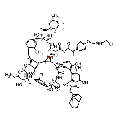 CCNCCOc1ccc(NC(=O)NC(=O)C[C@@H]2NC(=O)[C@H](NC(=O)[C@@H](CC(C)C)NC)[C@H](O)c3ccc(c(C)c3)Oc3cc4cc(c3O[C@@H]3O[C@H](CN)[C@@H](O)[C@H](O)[C@H]3O)Oc3ccc(cc3Cl)[C@@H](O)[C@@H]3NC(=O)[C@H](NC(=O)[C@@H]4NC2=O)c2ccc(O)c(c2)-c2c(C)cc(O)cc2[C@@H](C(=O)NC2C4CC5CC(C4)CC2C5)NC3=O)cc1